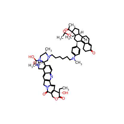 CC[C@@]1(O)C(=O)OCc2c1cc1n(c2=O)Cc2cc3c(CN(C)C)c([C@]4(C)CN(CCCCCCN(C)c5ccc([C@H]6C[C@@]7(C)[C@@H](CC[C@]7(OC(C)=O)C(C)=O)[C@@H]7CCC8=CC(=O)CCC8=C76)cc5)[C@@H](C)CN4C(=O)O)ccc3nc2-1